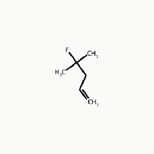 C=CCC(C)(C)F